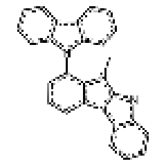 Cn1c2c(-n3c4ccccc4c4ccccc43)cccc2n2c3ccccc3nc12